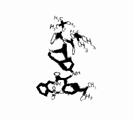 CC(C)c1cccc(C(Nc2ccc3c(N(C(=O)OC(C)(C)C)C(=O)OC(C)(C)C)nccc3c2)C(=O)NCc2ccccc2S(C)(=O)=O)c1